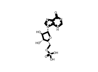 O=c1nc[nH]c2c1ncn2[C@@H]1O[C@H](COP(=O)(O)O)[C@H](O)[C@H]1O